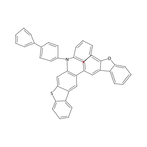 c1ccc(-c2ccc(N(c3ccccc3)c3cc4sc5ccccc5c4cc3-c3ccc4oc5ccccc5c4c3)cc2)cc1